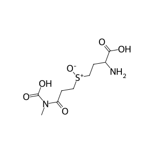 CN(C(=O)O)C(=O)CC[S+]([O-])CCC(N)C(=O)O